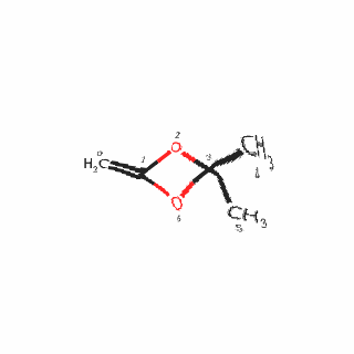 C=C1OC(C)(C)O1